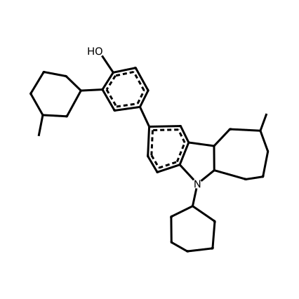 CC1CCCC(c2cc(-c3ccc4c(c3)C3CC(C)CCCC3N4C3CCCCC3)ccc2O)C1